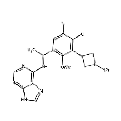 COc1c(C(C)Nc2ncnc3[nH]cnc23)cc(Cl)c(Cl)c1C1CN(C(C)C)C1